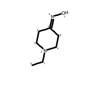 CCN1CCC(=NO)CC1